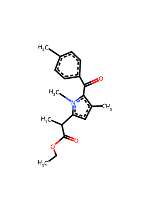 CCOC(=O)C(C)c1cc(C)c(C(=O)c2ccc(C)cc2)n1C